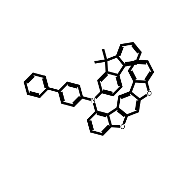 CC1(C)c2ccccc2-c2ccc(N(c3ccc(-c4ccccc4)cc3)c3cccc4oc5cc6oc7ccccc7c6cc5c34)cc21